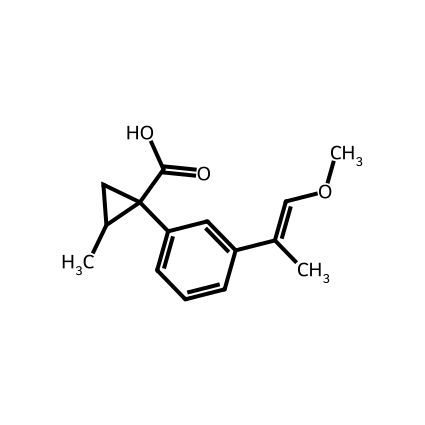 COC=C(C)c1cccc(C2(C(=O)O)CC2C)c1